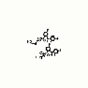 Cc1cc(I)ccc1Nc1cc(F)ccc1C(=O)NOC(C)(O)C1CC1.Cc1cc(I)ccc1Nc1cc(F)ccc1C(=O)NOCC1CC1CO